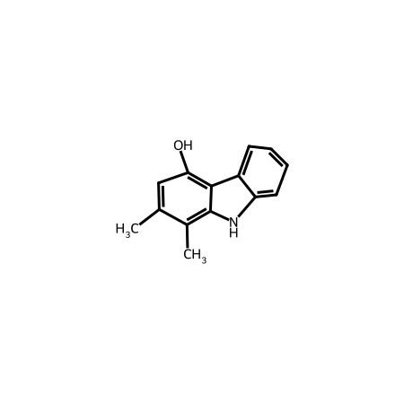 Cc1cc(O)c2c([nH]c3ccccc32)c1C